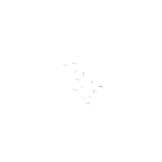 Cc1c(CC(=O)O)c(=O)oc2cc(NC(=O)C(CC(=O)O)n3cc(C4(NC(=O)C(C)C)CCCCC4)nn3)ccc12